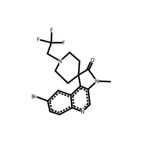 CN1C(=O)C2(CCN(CC(F)(F)F)CC2)c2c1cnc1ccc(Br)cc21